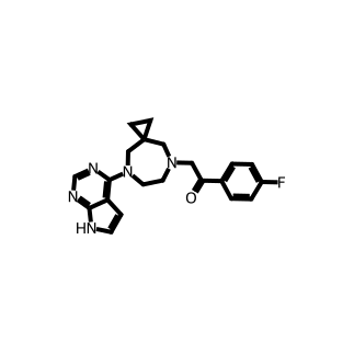 O=C(CN1CCN(c2ncnc3[nH]ccc23)CC2(CC2)C1)c1ccc(F)cc1